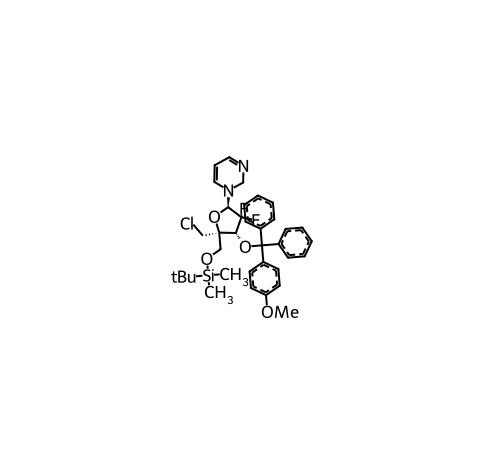 COc1ccc(C(O[C@H]2C(F)(F)[C@H](N3C=CC=NC3)O[C@]2(CCl)CO[Si](C)(C)C(C)(C)C)(c2ccccc2)c2ccccc2)cc1